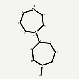 CN1CCCC(N2CCCOCC2)CC1